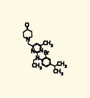 CCN(c1nc(C)cc(CN2CCC(=O)CC2)n1)c1ccc(C(C)C)cc1Br